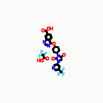 O=C(O)C(F)(F)F.O=C(O)c1ccc2c(O[C@H]3CC[C@H](N4C(=O)CN(c5cncc(C(F)(F)F)c5)C4=O)CC3)ncnc2c1